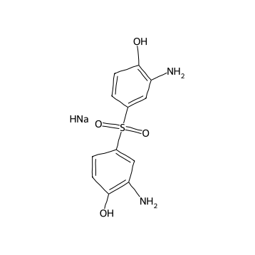 Nc1cc(S(=O)(=O)c2ccc(O)c(N)c2)ccc1O.[NaH]